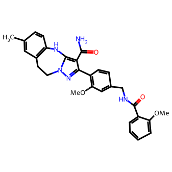 COc1ccccc1C(=O)NCc1ccc(-c2nn3c(c2C(N)=O)Nc2ccc(C)cc2CC3)c(OC)c1